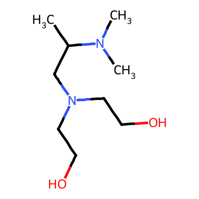 CC(CN(CCO)CCO)N(C)C